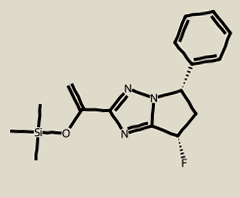 C=C(O[Si](C)(C)C)c1nc2n(n1)[C@H](c1ccccc1)C[C@@H]2F